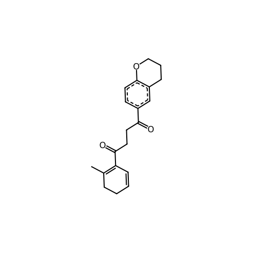 CC1=C(C(=O)CCC(=O)c2ccc3c(c2)CCCO3)C=CCC1